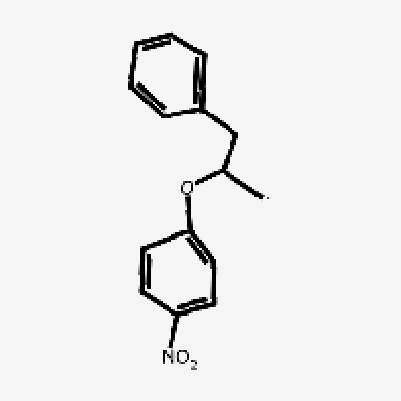 [CH2]C(Cc1ccccc1)Oc1ccc([N+](=O)[O-])cc1